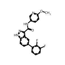 COc1ccc(NC(=O)c2n[nH]c3ccc(-c4cccc(F)c4F)cc23)cn1